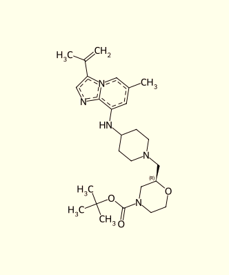 C=C(C)c1cnc2c(NC3CCN(C[C@@H]4CN(C(=O)OC(C)(C)C)CCO4)CC3)cc(C)cn12